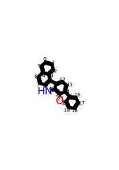 c1ccc2c(c1)ccc1[nH]c3c(ccc4c5ccccc5oc43)c12